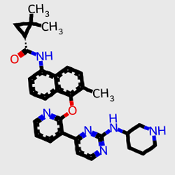 Cc1ccc2c(NC(=O)[C@@H]3CC3(C)C)cccc2c1Oc1ncccc1-c1ccnc(NC2CCCNC2)n1